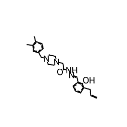 C=CCc1cccc(/C=N/NC(=O)CN2CCN(Cc3ccc(C)c(C)c3)CC2)c1O